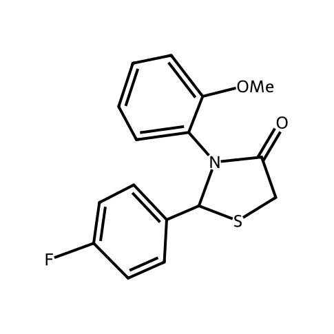 COc1ccccc1N1C(=O)CSC1c1ccc(F)cc1